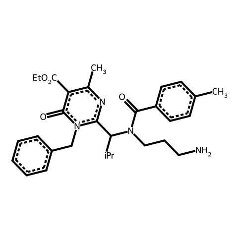 CCOC(=O)c1c(C)nc(C(C(C)C)N(CCCN)C(=O)c2ccc(C)cc2)n(Cc2ccccc2)c1=O